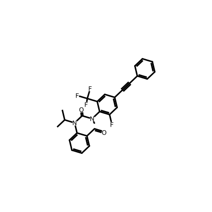 CC(C)N(C(=O)N(C)c1c(F)cc(C#Cc2ccccc2)cc1C(F)(F)F)c1ccccc1C=O